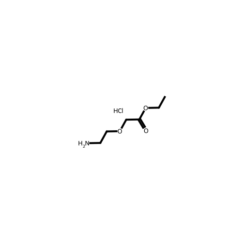 CCOC(=O)COCCN.Cl